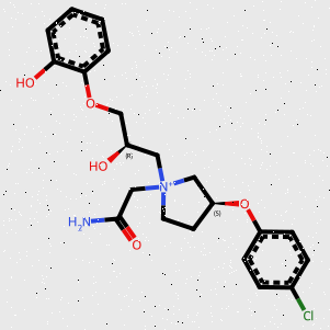 NC(=O)C[N+]1(C[C@@H](O)COc2ccccc2O)CC[C@H](Oc2ccc(Cl)cc2)C1